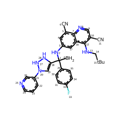 BC(Nc1cc(C#N)c2ncc(C#N)c(NCC(C)(C)C)c2c1)(C1=CN(c2cccnc2)NN1)c1ccc(F)cc1